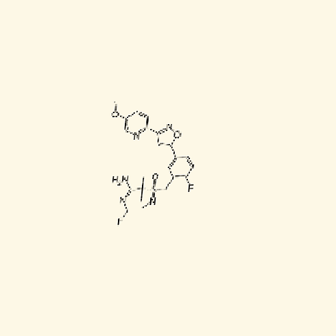 CN=S(=O)(Cc1cc(-c2cc(-c3ccc(OC)cn3)no2)ccc1F)C(C)(C)/C(N)=N\CF